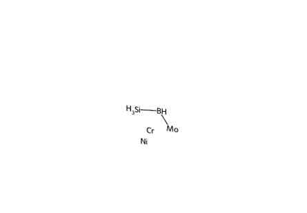 [Cr].[Ni].[SiH3][BH][Mo]